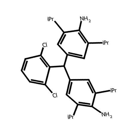 CC(C)c1cc(C(c2cc(C(C)C)c(N)c(C(C)C)c2)c2c(Cl)cccc2Cl)cc(C(C)C)c1N